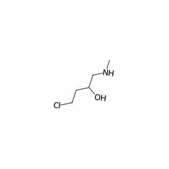 CNCC(O)CCCl